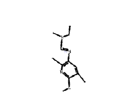 CCN(C)/C=N/c1cc(C)c(SC)nc1C